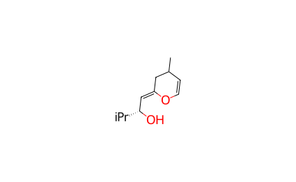 CC1C=CO/C(=C\[C@H](O)C(C)C)C1